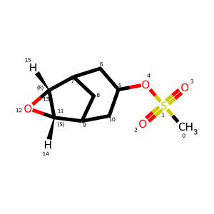 CS(=O)(=O)OC1CC2CC(C1)[C@@H]1O[C@H]21